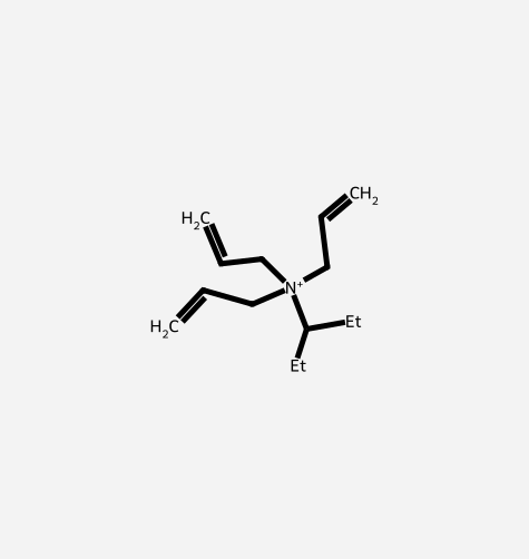 C=CC[N+](CC=C)(CC=C)C(CC)CC